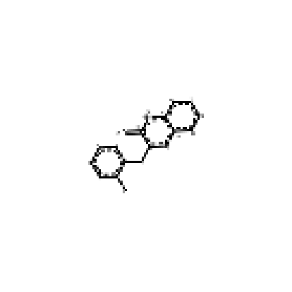 Cc1ccccc1Cc1cc2ccccc2[nH]c1=O